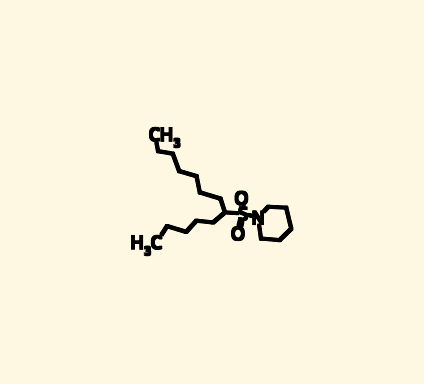 CCCCCCCC(CCCCC)S(=O)(=O)N1CCCCC1